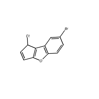 CCC1C=Cc2oc3ccc(Br)cc3c21